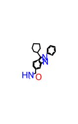 CNC(=O)c1ccc2c(C3CCCCC3)n(-c3ccccc3)nc2c1